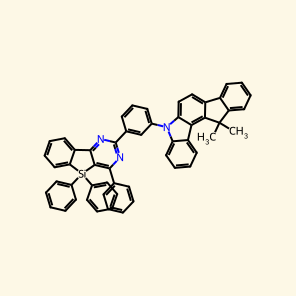 CC1(C)c2ccccc2-c2ccc3c(c21)c1ccccc1n3-c1cccc(-c2nc(-c3ccccc3)c3c(n2)-c2ccccc2[Si]3(c2ccccc2)c2ccccc2)c1